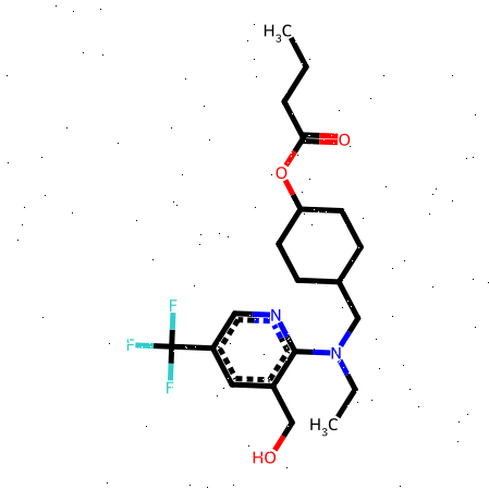 CCCC(=O)OC1CCC(CN(CC)c2ncc(C(F)(F)F)cc2CO)CC1